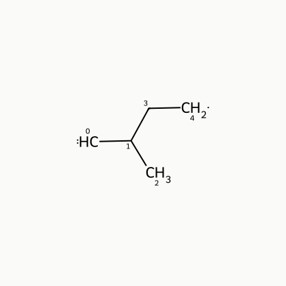 [CH]C(C)C[CH2]